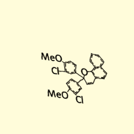 COc1ccc(C2(c3ccc(OC)c(Cl)c3)C=Cc3ccc4ccccc4c3O2)cc1Cl